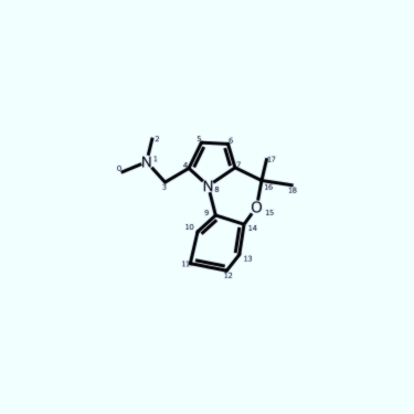 CN(C)Cc1ccc2n1-c1ccccc1OC2(C)C